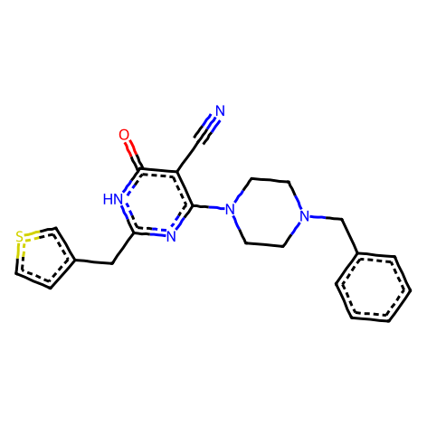 N#Cc1c(N2CCN(Cc3ccccc3)CC2)nc(Cc2ccsc2)[nH]c1=O